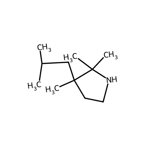 CC(C)CC1(C)CCNC1(C)C